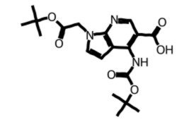 CC(C)(C)OC(=O)Cn1ccc2c(NC(=O)OC(C)(C)C)c(C(=O)O)cnc21